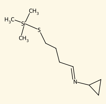 C[Si](C)(C)SCCCC=NC1CC1